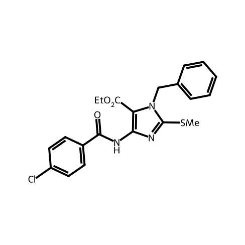 CCOC(=O)c1c(NC(=O)c2ccc(Cl)cc2)nc(SC)n1Cc1ccccc1